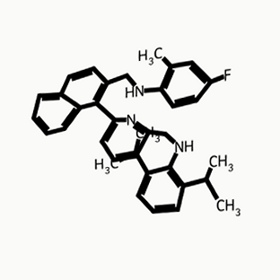 Cc1cc(F)ccc1NCc1ccc2ccccc2c1-c1cccc(CNc2c(C(C)C)cccc2C(C)C)n1